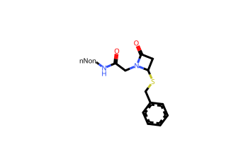 CCCCCCCCCNC(=O)CN1C(=O)CC1SCc1ccccc1